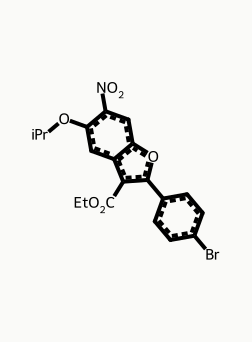 CCOC(=O)c1c(-c2ccc(Br)cc2)oc2cc([N+](=O)[O-])c(OC(C)C)cc12